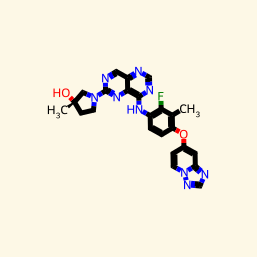 Cc1c(Oc2ccn3ncnc3c2)ccc(Nc2ncnc3cnc(N4CC[C@](C)(O)C4)nc23)c1F